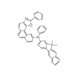 CC1(C)c2cc(N(c3ccccc3)c3ccc4ccc5ccc6nc(-c7ccccc7)oc6c5c4c3)ccc2-c2cc3ccccc3cc21